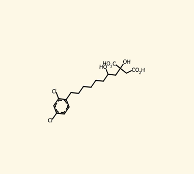 O=C(O)CC(O)(CC(O)CCCCCCc1ccc(Cl)cc1Cl)C(=O)O